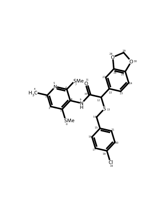 CSc1cc(C)nc(SC)c1NC(=O)C(SCc1ccc(Cl)cc1)c1ccc2c(c1)OCO2